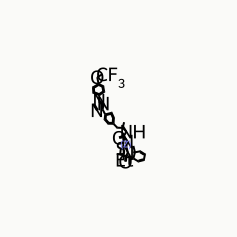 CCC1C=CC=CC1(C)N1C(=O)CS/C1=N\C(=O)NC(C)Cc1ccc(-c2ncn(-c3ccc(OC(F)(F)F)cc3)n2)cc1